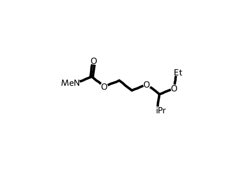 CCOC(OCCOC(=O)NC)C(C)C